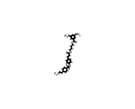 Nc1cc(N)cc(C(=O)OCCCCOC(=O)/C=C/c2ccc(OC(F)(F)C3CCC(CCC(F)(F)F)CC3)cc2)c1